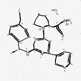 C[C@H](Nc1nc(-c2cnccn2)cc(N2CCC[C@H]2C(N)=O)n1)c1ccc(F)cc1.Cl